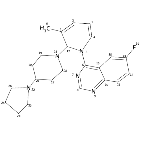 CC1=C[C]=CN(c2ncnc3ccc(F)cc23)C1N1CCC(N2CCCC2)CC1